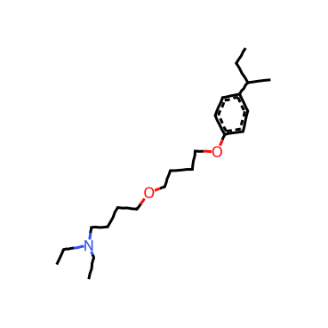 CCC(C)c1ccc(OCCCCOCCCCN(CC)CC)cc1